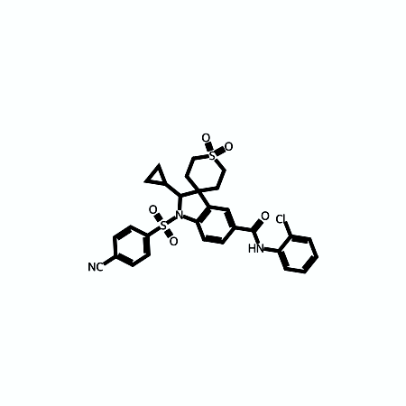 N#Cc1ccc(S(=O)(=O)N2c3ccc(C(=O)Nc4ccccc4Cl)cc3C3(CCS(=O)(=O)CC3)C2C2CC2)cc1